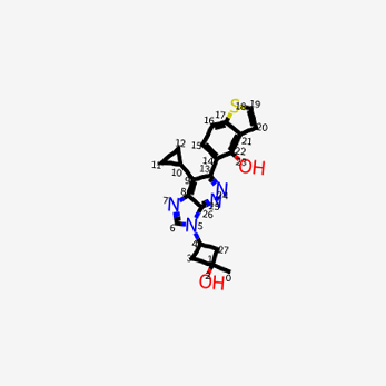 CC1(O)CC(n2cnc3c(C4CC4)c(-c4ccc5sccc5c4O)nnc32)C1